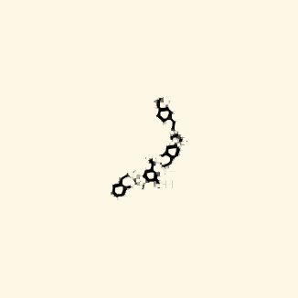 O=C(c1cc(S(=O)(=O)N2CCc3ccccc3C2)c(O)c(O)c1O)N1CCc2ccc(S(=O)(=O)NCCc3ccc4c(c3)OCO4)cc2C1